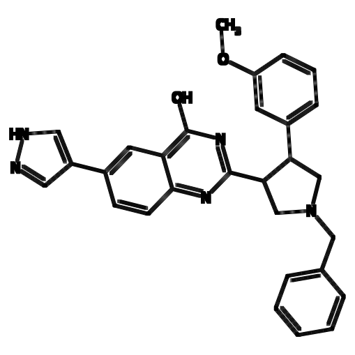 COc1cccc(C2CN(Cc3ccccc3)CC2c2nc(O)c3cc(-c4cn[nH]c4)ccc3n2)c1